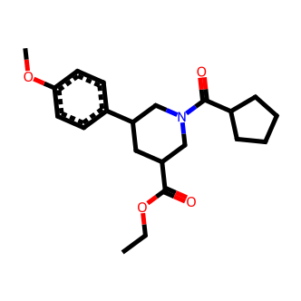 CCOC(=O)C1CC(c2ccc(OC)cc2)CN(C(=O)C2CCCC2)C1